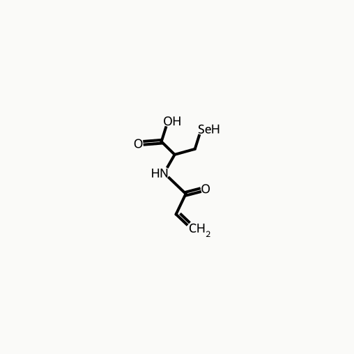 C=CC(=O)NC(C[SeH])C(=O)O